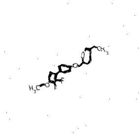 CCOc1ccc(-c2ccc(OCC3CCC(CC)CO3)cc2)c(F)c1F